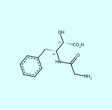 NCC(=O)N[C@H](Cc1ccccc1)[C@H](O)C(=O)O